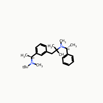 C[C@H](c1ccccc1)N(C)C(C)(C)Cc1cccc([C@H](C)N(C)C(C)(C)C)c1